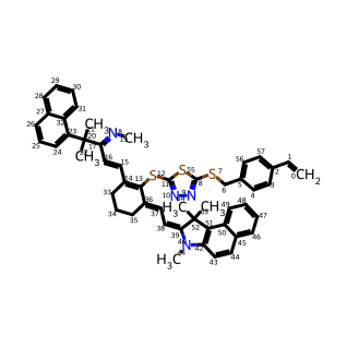 C=Cc1ccc(CSc2nnc(SC3=C(/C=C/C(=N\C)C(C)(C)c4cccc5ccccc45)CCC/C3=C\C=C3\N(C)c4ccc5ccccc5c4C3(C)C)s2)cc1